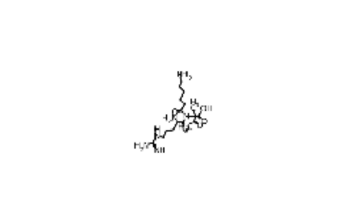 CC(=O)C(C)(C(=O)O)N(C(=O)CCCCCN)C(=O)C(N)CCCNC(=N)N